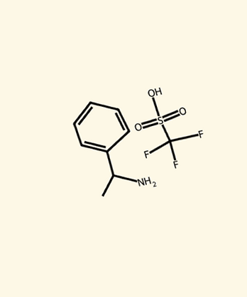 CC(N)c1ccccc1.O=S(=O)(O)C(F)(F)F